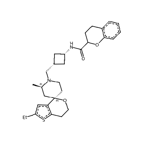 CCc1cc2c(s1)CCO[C@@]21CCN(C[C@H]2C[C@@H](NC(=O)C3CCc4ccccc4O3)C2)[C@H](C)C1